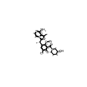 Cc1nc([C@@H](C)c2cc(Cl)c(F)c(C(=O)N3CCC[C@H](O)C3)c2OC(C)C)n2ccnc(N)c12